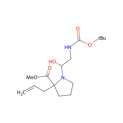 C=CCC1(C(=O)OC)CCCN1C(O)CNC(=O)OC(C)(C)C